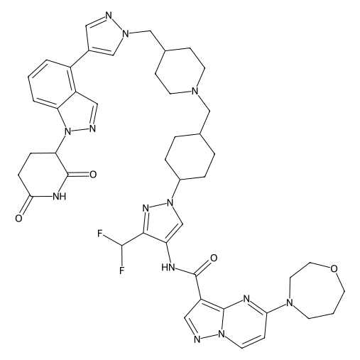 O=C1CCC(n2ncc3c(-c4cnn(CC5CCN(CC6CCC(n7cc(NC(=O)c8cnn9ccc(N%10CCCOCC%10)nc89)c(C(F)F)n7)CC6)CC5)c4)cccc32)C(=O)N1